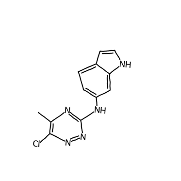 Cc1nc(Nc2ccc3cc[nH]c3c2)nnc1Cl